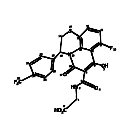 O=C(O)CNC(=O)c1c(O)c2c(F)ccc3c2n(c1=O)C(c1ccc(C(F)(F)F)cc1)CS3